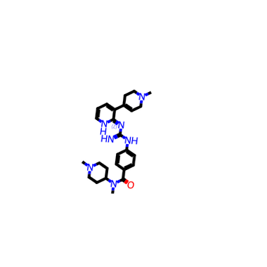 CN1CC=C(c2ccc[nH]/c2=N\C(=N)Nc2ccc(C(=O)N(C)C3CCN(C)CC3)cc2)CC1